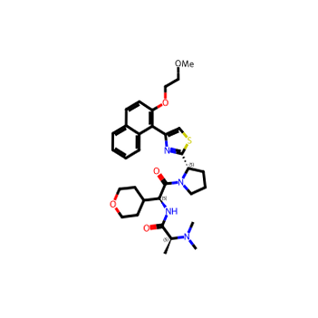 COCCOc1ccc2ccccc2c1-c1csc([C@@H]2CCCN2C(=O)[C@@H](NC(=O)[C@H](C)N(C)C)C2CCOCC2)n1